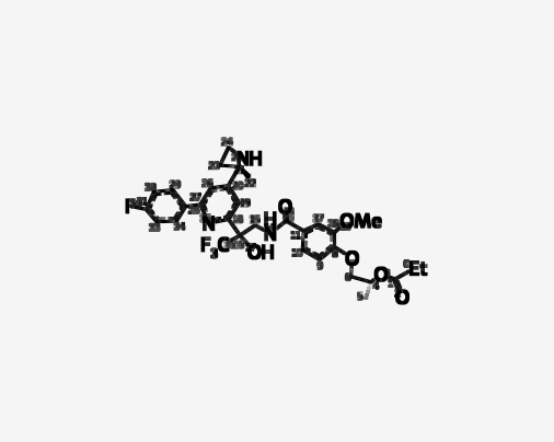 CCC(=O)O[C@H](C)COc1ccc(C(=O)NCC(O)(c2cc([C@]3(C)CCN3)cc(-c3ccc(F)cc3)n2)C(F)(F)F)cc1OC